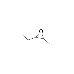 [CH2]C1OC1CC